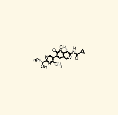 CCC[C@@H](O)c1ncc(-c2cc3cnc(NC(=O)C4CC4)cc3n(C)c2=O)c(C)n1